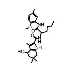 CCCCC(NC(=O)c1[nH]c2c(c1C)C(O)CC(C)(C)C2)C(=O)Nc1cc(C)ccc1OC